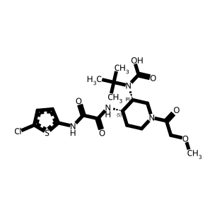 COCC(=O)N1CC[C@H](NC(=O)C(=O)Nc2ccc(Cl)s2)[C@H](N(C(=O)O)C(C)(C)C)C1